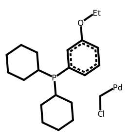 CCOc1cccc(P(C2CCCCC2)C2CCCCC2)c1.Cl[CH2][Pd]